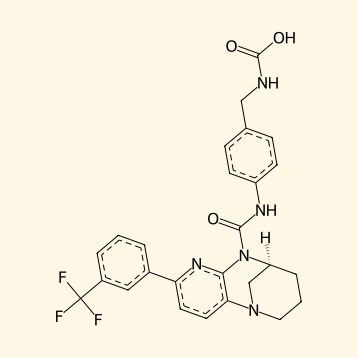 O=C(O)NCc1ccc(NC(=O)N2c3nc(-c4cccc(C(F)(F)F)c4)ccc3N3CCC[C@H]2C3)cc1